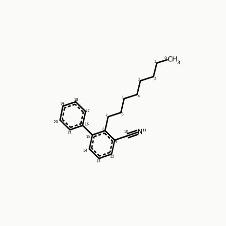 CCCCCCCCc1c(C#N)cccc1-c1ccccc1